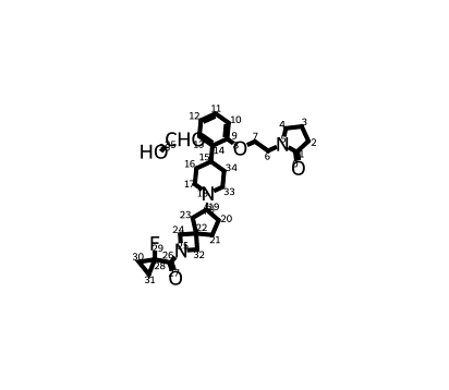 O=C1CCCN1CCOc1ccccc1C1CCN([C@@H]2CCC3(C2)CN(C(=O)C2(F)CC2)C3)CC1.O=CO